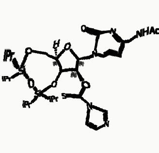 CC(=O)Nc1ccn([C@@H]2O[C@@H]3CO[Si](C(C)C)(C(C)C)O[Si](C(C)C)(C(C)C)OC3[C@@H]2OC(=S)n2ccnc2)c(=O)n1